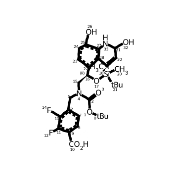 CC(C)(C)OC(=O)N(Cc1ccc(C(=O)O)c(F)c1F)C[C@H](O[Si](C)(C)C(C)(C)C)c1ccc(O)c2c1C=CC(O)N2